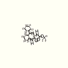 CC(C)(C)OC(=O)N[C@@H]1N=C(c2ccccc2)c2ccccc2NC1=O